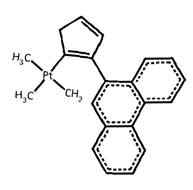 [CH3][Pt]([CH3])([CH3])[C]1=C(c2cc3ccccc3c3ccccc23)C=CC1